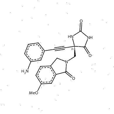 COc1ccc2c(c1)C(=O)N(C[C@@]1(C#Cc3cccc(N)c3)NC(=O)NC1=O)C2